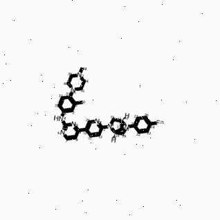 Cc1cc(Nc2nccc(-c3ccc(N4C[C@@H]5C[C@H]4CN5c4ccc(F)cc4)nc3)n2)ccc1N1CCN(C)CC1